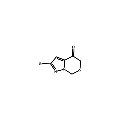 O=C1CSCn2nc(Br)cc21